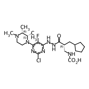 C[C@@H]1[C@H](C)N(c2nc(Cl)nc(NNC(=O)[C@@H](CNC(=O)O)CC3CCCC3)c2F)CCN1C